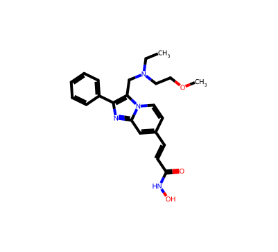 CCN(CCOC)Cc1c(-c2ccccc2)nc2cc(C=CC(=O)NO)ccn12